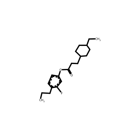 CCCc1ccc(OC(=O)CCC2CCC(CC)CC2)cc1F